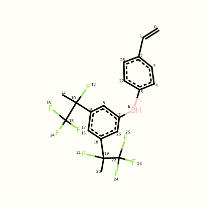 C=Cc1ccc(Bc2cc(C(C)(F)C(F)(F)F)cc(C(C)(F)C(F)(F)F)c2)cc1